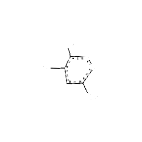 COc1cc(C(C)(C)C)c(OC)nn1